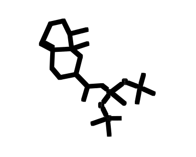 CC(C[Si](C)(O[Si](C)(C)C)O[Si](C)(C)C)C1CCC2=CCCC(C)C2(C)C1